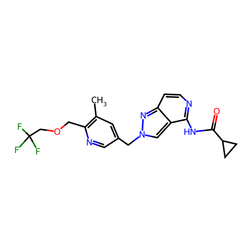 Cc1cc(Cn2cc3c(NC(=O)C4CC4)nccc3n2)cnc1COCC(F)(F)F